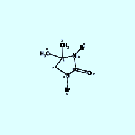 CC1(C)CN(Br)C(=O)N1Br